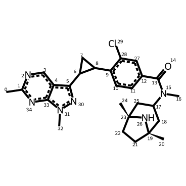 Cc1ncc2c(C3CC3c3ccc(C(=O)N(C)C4C[C@]5(C)CC[C@](C)(C4)N5)cc3Cl)nn(C)c2n1